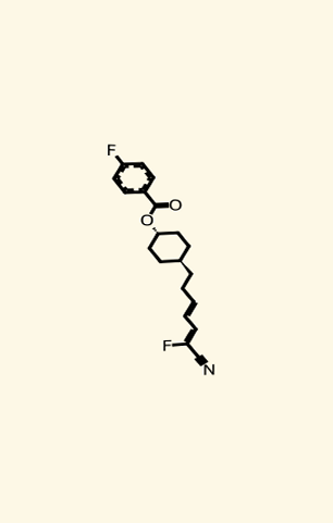 N#CC(F)=CC=CCC[C@H]1CC[C@H](OC(=O)c2ccc(F)cc2)CC1